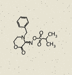 CC(C)S(=O)(=O)O/N=C1/C(=O)OCCN1Cc1ccccc1